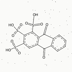 O=C1c2ccccc2C(=O)c2c1cc(S(=O)(=O)O)c(S(=O)(=O)O)c2S(=O)(=O)O